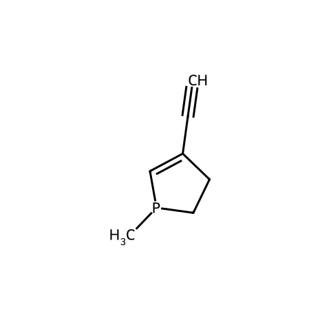 C#CC1=CP(C)CC1